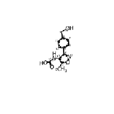 Cc1onc(-c2ccc(CO)cc2)c1NC(=O)O